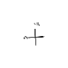 N.[CH2]C(C)(C)CCC